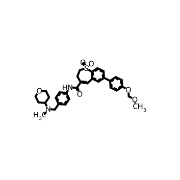 COCOc1ccc(-c2ccc3c(c2)C=C(C(=O)Nc2ccc(CN(C)C4CCOCC4)cc2)CCS3(=O)=O)cc1